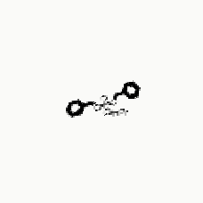 C[CH]COP(=O)(OCc1ccccc1)OCc1ccccc1